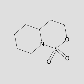 O=S1(=O)OCCC2CCCCN21